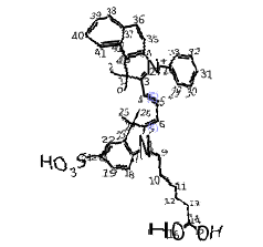 CC1(C)C(/C=C/C=C2/N(CCCCCC(O)O)c3ccc(S(=O)(=O)O)cc3C2(C)C)=[N+](c2ccccc2)c2ccc3ccccc3c21